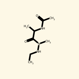 CCNN(C)C(=O)C(C)NC(C)=O